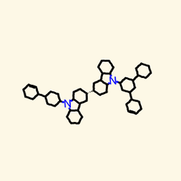 C1=CC(C2CCC(N3C4CCCCC4C4C[C@@H](C5CCC6C(C5)C5CCCCC5N6C5CC(C6CC=CCC6)CC(C6CCCCC6)C5)CCC43)CC2)CCC1